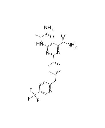 CC(Nc1cc(C(N)=O)nc(-c2ccc(Cc3ccc(C(F)(F)F)cn3)cc2)n1)C(N)=O